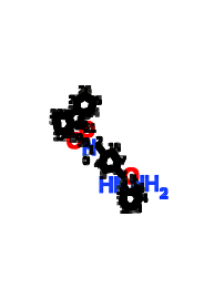 CN(Cc1ccc(C(=O)Nc2ccccc2N)cc1)C(=O)OC1c2ccccc2-c2ccccc21